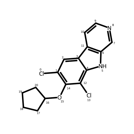 Clc1cc2c([nH]c3cnccc32)c(Cl)c1OC1CCCC1